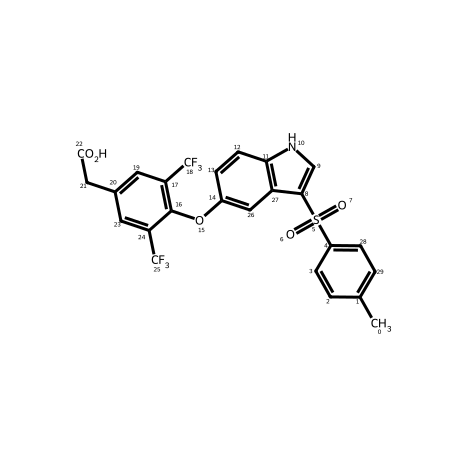 Cc1ccc(S(=O)(=O)c2c[nH]c3ccc(Oc4c(C(F)(F)F)cc(CC(=O)O)cc4C(F)(F)F)cc23)cc1